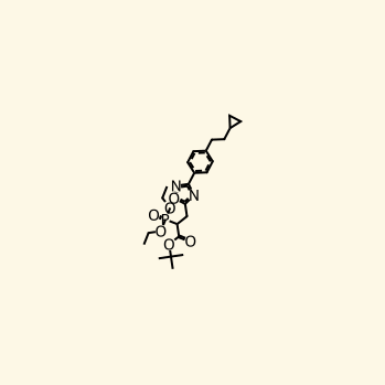 CCOP(=O)(OCC)C(Cc1nc(-c2ccc(CCC3CC3)cc2)no1)C(=O)OC(C)(C)C